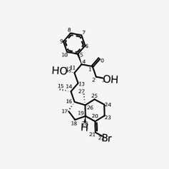 C=C(CO)[C@H](c1ccccc1)[C@@H](O)C[C@@H](C)[C@H]1CC[C@H]2/C(=C/Br)CCC[C@]12C